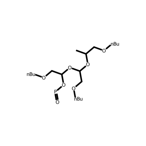 CCCCOCC(C)OC(COCCCC)OC(COCCCC)OP=O